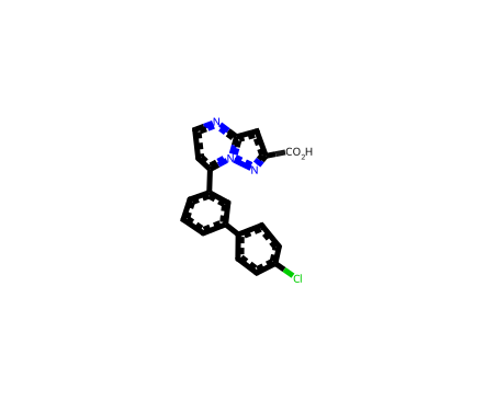 O=C(O)c1cc2nccc(-c3cccc(-c4ccc(Cl)cc4)c3)n2n1